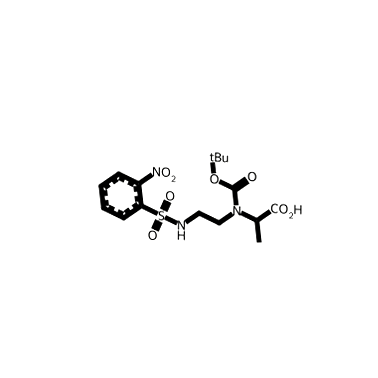 CC(C(=O)O)N(CCNS(=O)(=O)c1ccccc1[N+](=O)[O-])C(=O)OC(C)(C)C